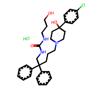 Cl.O=C(NCCCO)NCC(CCCN1CCC(O)(c2ccc(Cl)cc2)CC1)(c1ccccc1)c1ccccc1